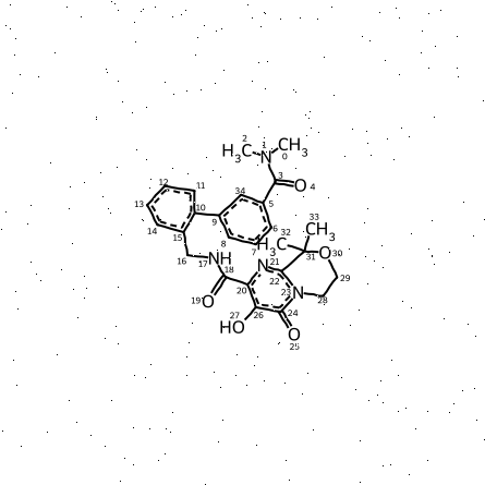 CN(C)C(=O)c1cccc(-c2ccccc2CNC(=O)c2nc3n(c(=O)c2O)CCOC3(C)C)c1